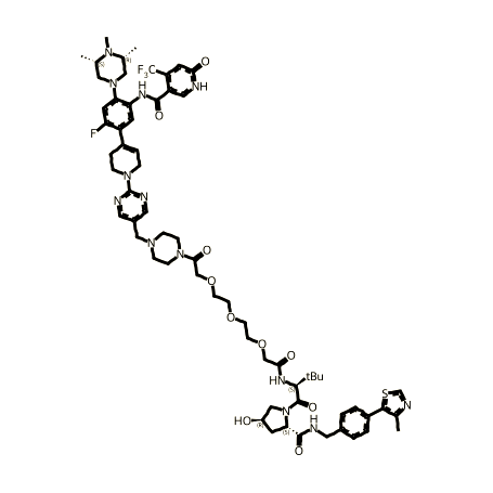 Cc1ncsc1-c1ccc(CNC(=O)[C@@H]2C[C@@H](O)CN2C(=O)[C@@H](NC(=O)COCCOCCOCC(=O)N2CCN(Cc3cnc(N4CC=C(c5cc(NC(=O)c6c[nH]c(=O)cc6C(F)(F)F)c(N6C[C@@H](C)N(C)[C@@H](C)C6)cc5F)CC4)nc3)CC2)C(C)(C)C)cc1